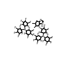 Cc1cc2nc[nH]c2cc1C.Fc1c(F)c(F)c(B(c2c(F)c(F)c(F)c(F)c2F)c2c(F)c(F)c(F)c(F)c2F)c(F)c1F.Fc1c(F)c(F)c(B(c2c(F)c(F)c(F)c(F)c2F)c2c(F)c(F)c(F)c(F)c2F)c(F)c1F